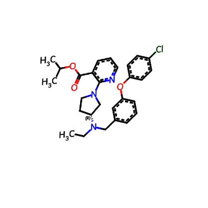 CCN(Cc1cccc(Oc2ccc(Cl)cc2)c1)[C@@H]1CCN(c2ncccc2C(=O)OC(C)C)C1